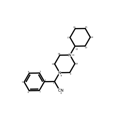 N#CC(c1ccccc1)N1CCN(C2CCCCC2)CC1